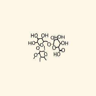 COC1[C@@H](I)C(C)O[C@@H](I)[C@H]1O[C@H]1OC(CO[C@H]2OC(C(=O)O)[C@@H](O)C(O)C2O)[C@@H](O)C(O)C1O